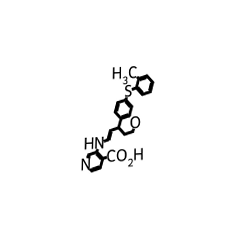 Cc1ccccc1Sc1ccc2c(c1)OCCC2/C=C/Nc1cnccc1C(=O)O